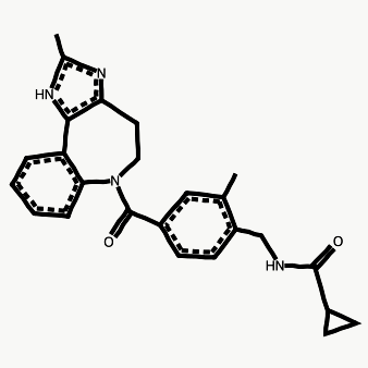 Cc1nc2c([nH]1)-c1ccccc1N(C(=O)c1ccc(CNC(=O)C3CC3)c(C)c1)CC2